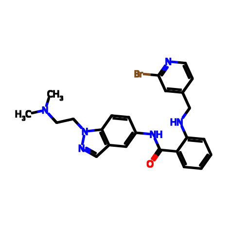 CN(C)CCn1ncc2cc(NC(=O)c3ccccc3NCc3ccnc(Br)c3)ccc21